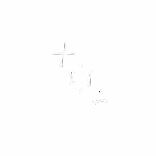 CC(C)(C)C(=O)c1ccc(C2(C)N=N2)cc1